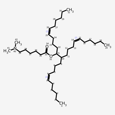 CCCCC/C=C\CCCC(CCC/C=C\CCCCC)C(CCC/C=C\CCCCC)OC(=O)CCCCCN(C)C